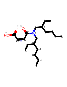 CCCCC(CC)CN(CC(CC)CCCC)C(=O)/C=C\C(=O)O